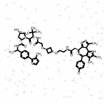 CC1=NN=C2C1c1[nH]c(C)c(C)c1C(c1ccc(Cl)cc1)=N[C@H]2CC(=O)NCCO[C@H]1C[C@H](OCC(=O)N[C@H](C(=O)N2C[C@H](O)C[C@H]2C(=O)NC(C)c2ccc(-c3sccc3C)cc2)C(C)(C)C)C1